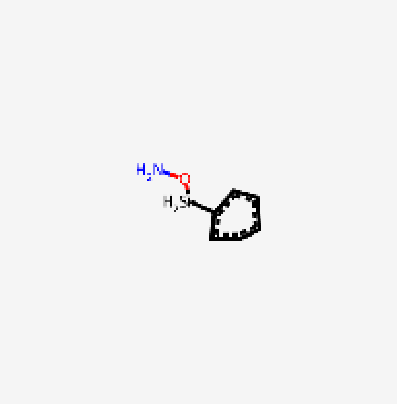 NO[SiH2]c1ccccc1